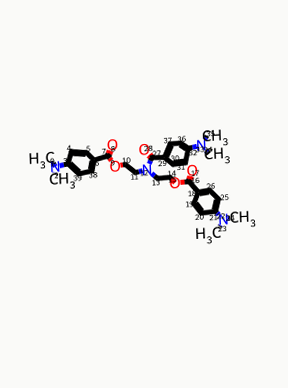 CN(C)c1ccc(C(=O)OCCN(CCOC(=O)c2ccc(N(C)C)cc2)C(=O)c2ccc(N(C)C)cc2)cc1